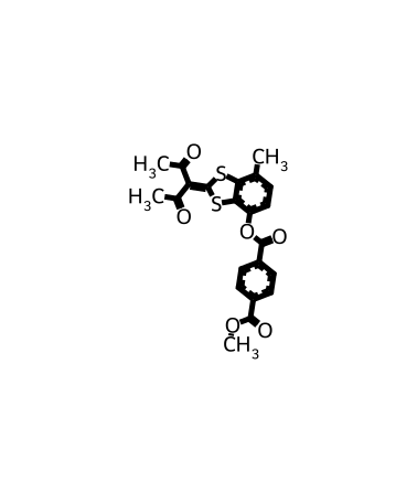 COC(=O)c1ccc(C(=O)Oc2ccc(C)c3c2SC(=C(C(C)=O)C(C)=O)S3)cc1